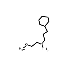 COCCN(C)CCCC1CCCCC1